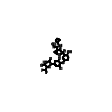 O=c1[nH]c(=O)n(-c2cc(Cl)c(Oc3ccc(O)c(S(=O)(=O)NC4(/C(=N/O)NC5CCC5)CC4)c3)c(Cl)c2)nc1C(F)F